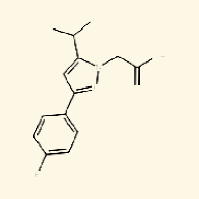 CC(C)c1cc(-c2ccc(F)cc2)nn1CC(=O)O